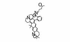 CC(=O)CCCN(C)C(=O)c1ccccc1-c1c2c(c3c4c1CCCN4CCC3)C(C)(C)c1cc3c(cc1=C2)CCC(C)(C)ON=3